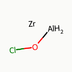 [AlH2][O]Cl.[Zr]